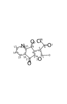 Cc1oc2c(c1C(=O)Cl)C(=O)c1ncccc1C2=O